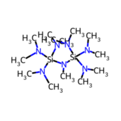 CN(C)[Si](N(C)C)(N(C)C)N(C)[Si](N(C)C)(N(C)C)N(C)C